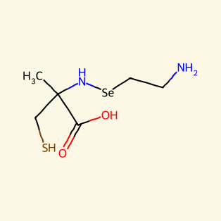 CC(CS)(N[Se]CCN)C(=O)O